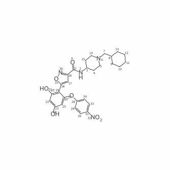 O=C(NC1CCN(CC2CCCCC2)CC1)c1cc(-c2c(O)cc(O)cc2Oc2ccc([N+](=O)[O-])cc2)on1